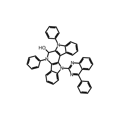 OC1c2c(c3ccccc3n2-c2ccccc2)-c2c(c3ccccc3n2-c2nc(-c3ccccc3)c3ccccc3n2)N1c1ccccc1